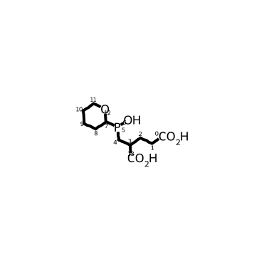 O=C(O)CCC(CP(O)C1CCCCO1)C(=O)O